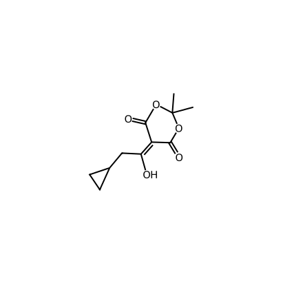 CC1(C)OC(=O)C(=C(O)CC2CC2)C(=O)O1